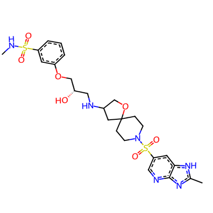 CNS(=O)(=O)c1cccc(OC[C@@H](O)CNC2COC3(CCN(S(=O)(=O)c4cnc5nc(C)[nH]c5c4)CC3)C2)c1